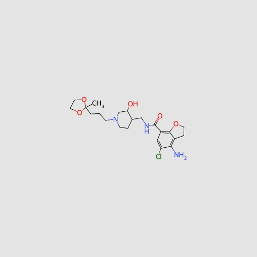 CC1(CCCN2CCC(CNC(=O)c3cc(Cl)c(N)c4c3OCC4)C(O)C2)OCCO1